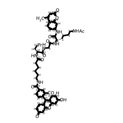 CC(=O)NCCCC[C@H](NC(=O)CNC(=O)[C@H](CC(C)C)NC(=O)CCCCCNC(=O)c1ccc(-c2c3ccc(=O)cc-3oc3cc(O)ccc23)c(C(=O)O)c1)C(=O)Nc1ccc2c(C)cc(=O)oc2c1